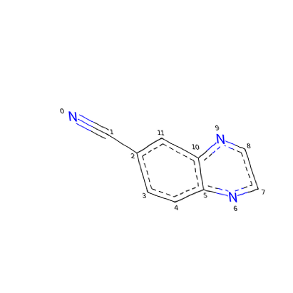 N#Cc1ccc2nccnc2c1